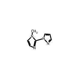 Cn1ccnc1-n1cccn1